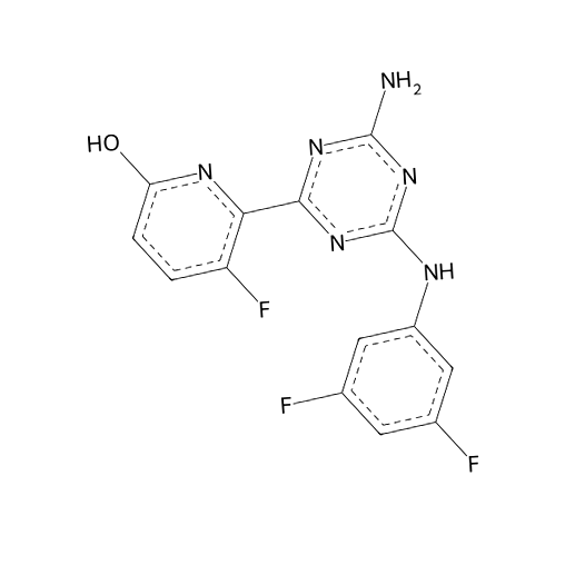 Nc1nc(Nc2cc(F)cc(F)c2)nc(-c2nc(O)ccc2F)n1